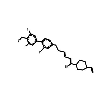 C=CC1CCC(/C(=C/C=C/CCc2ccc(-c3cc(F)c(CF)c(F)c3)c(F)c2)CC)CC1